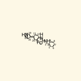 O=C(NCc1ccccc1)Nc1ccc(-c2cn[nH]c2)cc1F